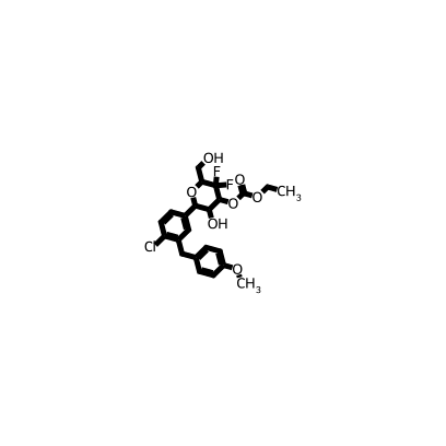 CCOC(=O)OC1C(O)C(c2ccc(Cl)c(Cc3ccc(OC)cc3)c2)OC(CO)C1(F)F